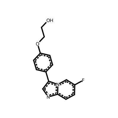 OCCOc1ccc(-c2cnc3ccc(F)cn23)cc1